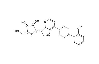 COc1ccccc1N1CCN(c2ncnc3c2ncn3[C@@H]2O[C@H](CO)[C@@H](O)[C@H]2O)CC1